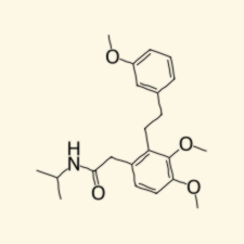 COc1cccc(CCc2c(CC(=O)NC(C)C)ccc(OC)c2OC)c1